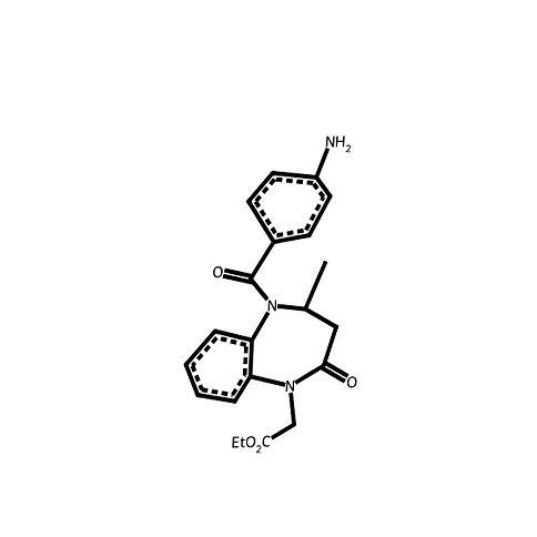 CCOC(=O)CN1C(=O)CC(C)N(C(=O)c2ccc(N)cc2)c2ccccc21